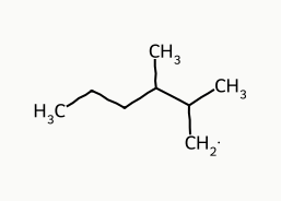 [CH2]C(C)C(C)CCC